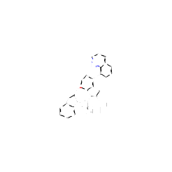 CCC1=Cc2c(-c3cccc4cccnc34)cccc2[CH]1[Zr]([CH]1C(C)=Cc2ccccc21)[SiH](C)C